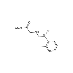 CC[C@@H](CNCC(=O)OC)c1ccccc1C